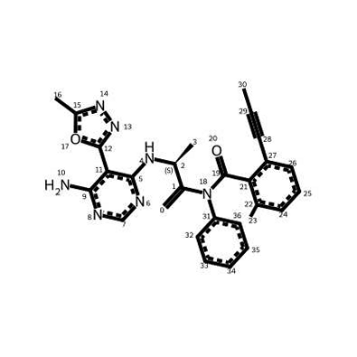 C=C([C@H](C)Nc1ncnc(N)c1-c1nnc(C)o1)N(C(=O)c1c(C)cccc1C#CC)c1ccccc1